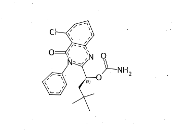 CC(C)(C)C[C@H](OC(N)=O)c1nc2cccc(Cl)c2c(=O)n1-c1ccccc1